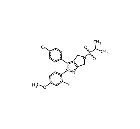 COc1ccc(-n2nc3c(c2-c2ccc(Cl)cc2)CN(S(=O)(=O)C(C)C)C3)c(F)c1